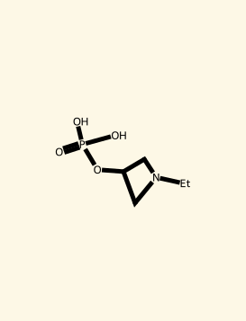 CCN1CC(OP(=O)(O)O)C1